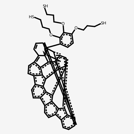 CN1CC23C4=c5ccc6c7ccc8c9ccc%10c%11ccc%12c%13c(c%14c%15c2c5c6c2c7c8c5c9c%10c(c%13%11)c%14c5c%152)C3(C=%12C=C4)C1c1ccc(OCCCS)c(OCCCS)c1OCCCS